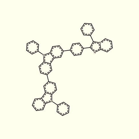 c1ccc(-c2c(-c3ccc(-c4ccc5c(c4)c4cc(-c6ccc7c(c6)c6ccccc6n7-c6ccccc6)ccc4n5-c4ccccc4)cc3)nc3ccccn23)cc1